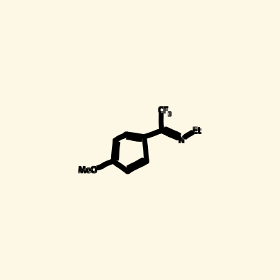 CC/N=C(/c1ccc(OC)cc1)C(F)(F)F